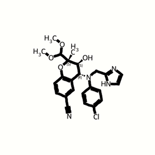 COC(OC)[C@@]1(C)Oc2ccc(C#N)cc2[C@@H](N(Cc2ncc[nH]2)c2ccc(Cl)cc2)[C@@H]1O